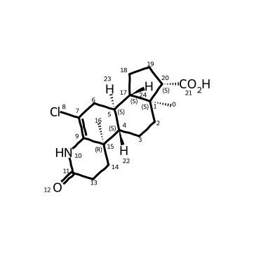 C[C@]12CC[C@H]3[C@@H](CC(Cl)=C4NC(=O)CC[C@@]43C)[C@@H]1CC[C@@H]2C(=O)O